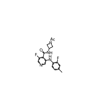 CC(=O)N1CC(NC(=O)c2c(F)cncc2Nc2ccc(C)cc2F)C1